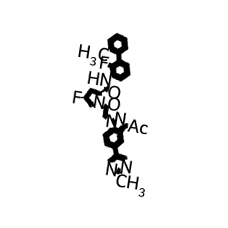 CC(=O)c1nn(CC(=O)N2C[C@H](F)C[C@H]2C(=O)Nc2cccc(-c3ccccc3C)c2F)c2ccc(-c3cnc(C)nc3)cc12